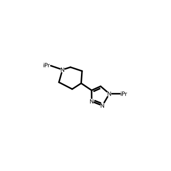 CC(C)N1CCC(c2cn(C(C)C)nn2)CC1